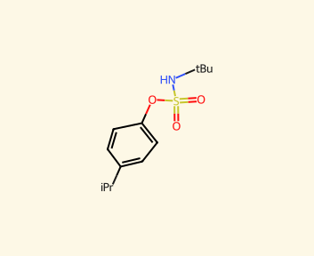 CC(C)c1ccc(OS(=O)(=O)NC(C)(C)C)cc1